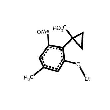 CCOc1cc(C)cc(OC)c1C1(C(=O)O)CC1